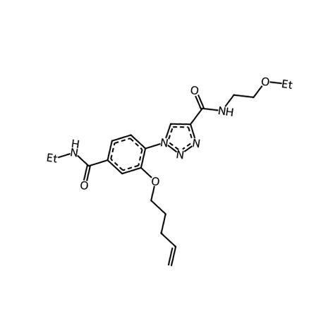 C=CCCCOc1cc(C(=O)NCC)ccc1-n1cc(C(=O)NCCOCC)nn1